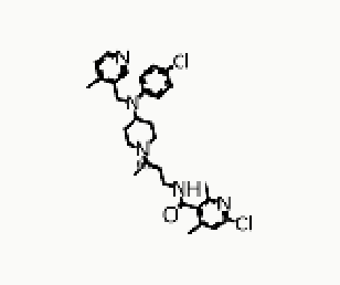 Cc1ccncc1CN(c1ccc(Cl)cc1)C1CCN([C@H](C)CCNC(=O)c2c(C)cc(Cl)nc2C)CC1